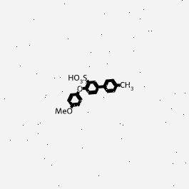 COc1ccc(Oc2ccc(-c3ccc(C)cc3)cc2S(=O)(=O)O)cc1